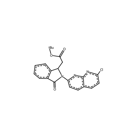 CC(C)(C)OC(=O)CC1c2ccccc2C(=O)N1c1ccc2ccc(Cl)nc2n1